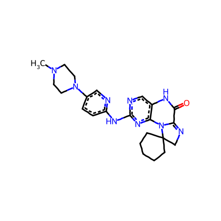 CN1CCN(c2ccc(Nc3ncc4c(n3)N3C(=NCC35CCCCC5)C(=O)N4)nc2)CC1